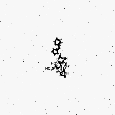 CC(C)C[C@H](NC(=O)OC1CCCC1Cc1ccccc1)C(=O)N[C@@H](C[C@@H]1CCNC1=O)C(O)S(=O)(=O)O